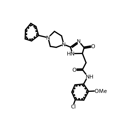 COc1cc(Cl)ccc1NC(=O)CC1NC(N2CCN(c3ccccc3)CC2)=NC1=O